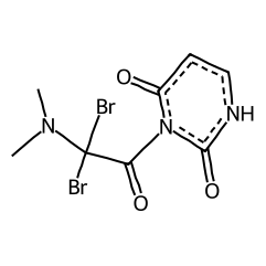 CN(C)C(Br)(Br)C(=O)n1c(=O)cc[nH]c1=O